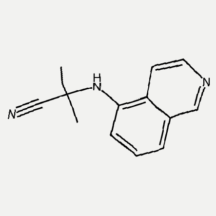 CC(C)(C#N)Nc1cccc2cnccc12